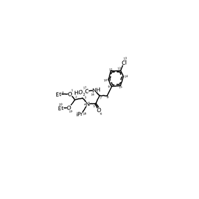 CCOC(CN(C(=O)C(Cc1ccc(Cl)cc1)NC(=O)O)C(C)C)OCC